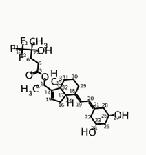 C[C@H](OC(=O)CC[C@@](C)(O)C(F)(F)F)C1=CC[C@H]2/C(=C/C=C3C[C@@H](O)C[C@H](O)C3)CCC[C@]12C